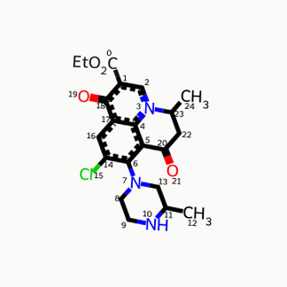 CCOC(=O)c1cn2c3c(c(N4CCNC(C)C4)c(Cl)cc3c1=O)C(=O)CC2C